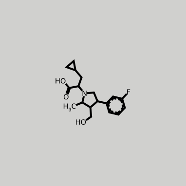 CC1C(CO)C(c2cccc(F)c2)CN1C(CC1CC1)C(=O)O